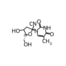 Cc1cn([C@@]2(C#N)CC(O)[C@@H](CO)O2)c(=O)[nH]c1=O